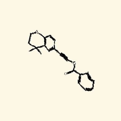 CC1(C)CCSc2ccc(C#COC(=O)c3ccccc3)cc21